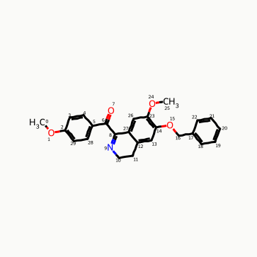 COc1ccc(C(=O)C2=NCCc3cc(OCc4ccccc4)c(OC)cc32)cc1